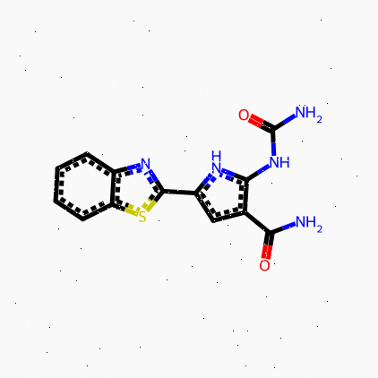 NC(=O)Nc1[nH]c(-c2nc3ccccc3s2)cc1C(N)=O